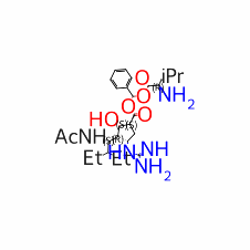 CCC(CC)[C@H](NC(C)=O)[C@H]1C(NC(=N)N)C[C@H](C(=O)OC(OC(=O)[C@H](N)C(C)C)c2ccccc2)[C@H]1O